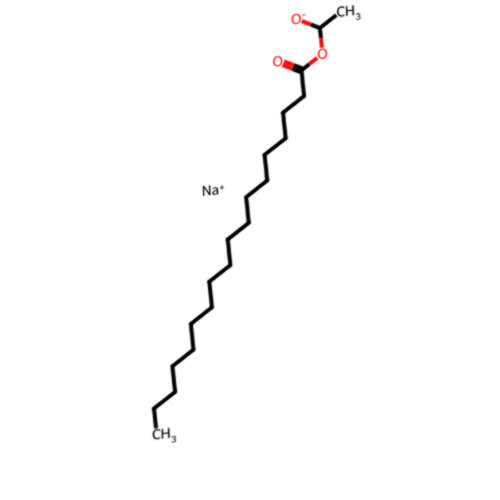 CCCCCCCCCCCCCCCCCC(=O)OC(C)[O-].[Na+]